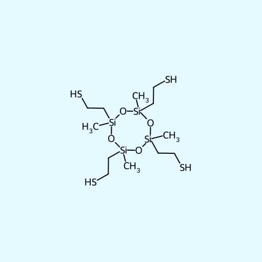 C[Si]1(CCS)O[Si](C)(CCS)O[Si](C)(CCS)O[Si](C)(CCS)O1